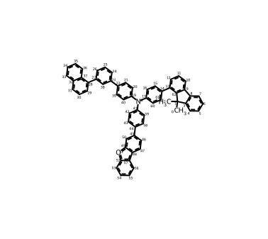 CC1(C)c2ccccc2-c2cccc(-c3ccc(N(c4ccc(-c5cccc(-c6cccc7ccccc67)c5)cc4)c4ccc(-c5ccc6c(c5)oc5ccccc56)cc4)cc3)c21